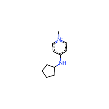 C[n+]1ccc(NC2CCCC2)cc1